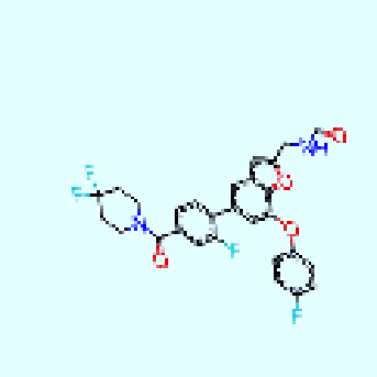 O=CNCc1cc2cc(-c3ccc(C(=O)N4CCC(F)(F)CC4)cc3F)cc(Oc3ccc(F)cc3)c2o1